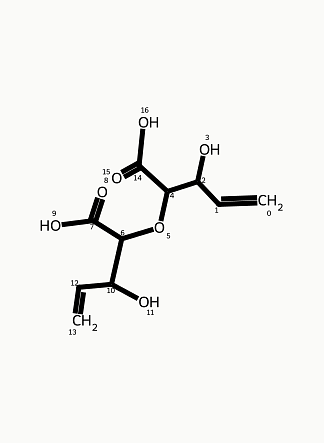 C=CC(O)C(OC(C(=O)O)C(O)C=C)C(=O)O